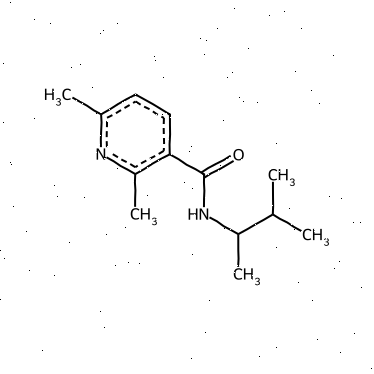 Cc1ccc(C(=O)NC(C)C(C)C)c(C)n1